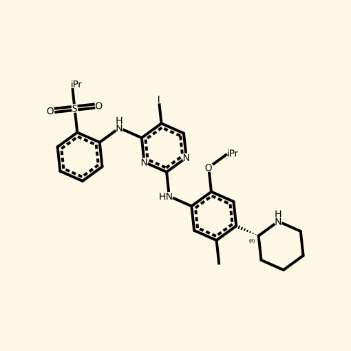 Cc1cc(Nc2ncc(I)c(Nc3ccccc3S(=O)(=O)C(C)C)n2)c(OC(C)C)cc1[C@H]1CCCCN1